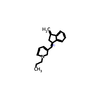 C=C1C/C(=C\C2=CC=CN(CCC)C2)c2ccccc21